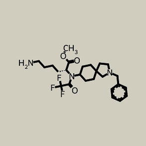 COC(=O)[C@@H](CCCCN)N(C(=O)C(F)(F)F)C1CCC2(CC1)CCN(Cc1ccccc1)C2